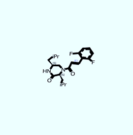 CC(C)C[C@H]1CN(C(=O)/C=C/c2c(F)cccc2F)[C@@H](CC(C)C)C(=O)N1